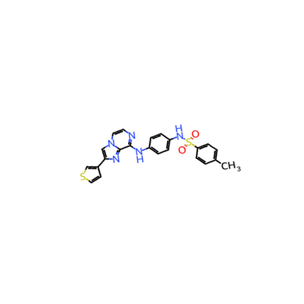 Cc1ccc(S(=O)(=O)Nc2ccc(Nc3nccn4cc(-c5ccsc5)nc34)cc2)cc1